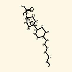 CCCCCCCC1CCC(C23CCC(OC(C)=O)(CC2)CC3)CC1